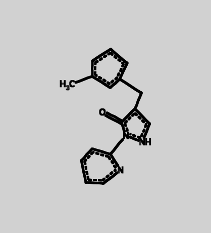 Cc1cccc(Cc2c[nH]n(-c3ccccn3)c2=O)c1